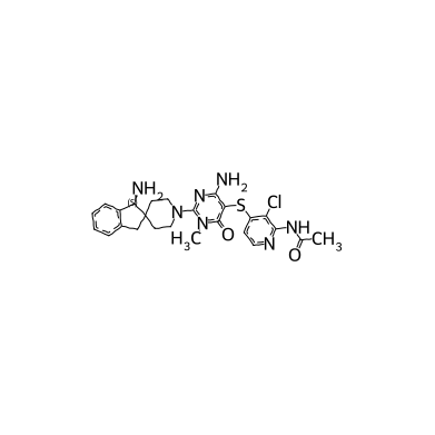 CC(=O)Nc1nccc(Sc2c(N)nc(N3CCC4(CC3)Cc3ccccc3[C@H]4N)n(C)c2=O)c1Cl